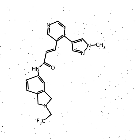 Cn1cc(-c2ccncc2C=CC(=O)Nc2ccc3c(c2)CN(CC(F)(F)F)C3)cn1